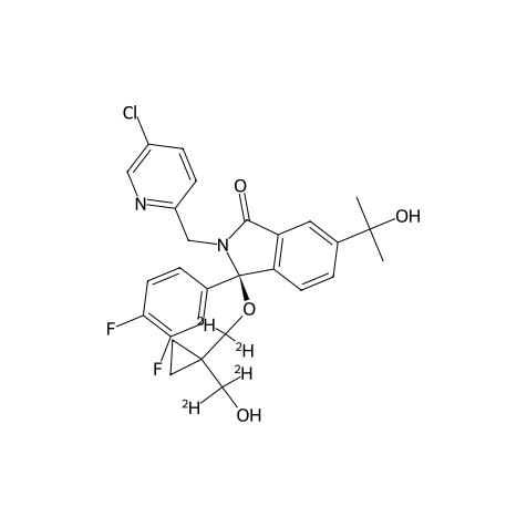 [2H]C([2H])(O)C1(C([2H])([2H])O[C@]2(c3ccc(F)c(F)c3)c3ccc(C(C)(C)O)cc3C(=O)N2Cc2ccc(Cl)cn2)CC1